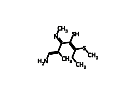 CC\C(SC)=C(S)/C(=N\C)C(/C)=C/N